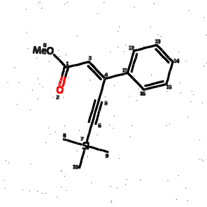 COC(=O)C=C(C#C[Si](C)(C)C)c1ccccc1